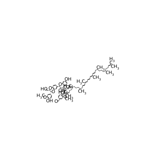 CC(C)=CCCC(C)CCCC(C)C/C=C/C(C)=C/C=C/C=C(C)/C=C/CC(C)CCCC(C)CCC=C(C)C.COc1cc(C=O)ccc1O.COc1cc([C@H]2Oc3cc([C@H]4Oc5cc(O)cc(O)c5C(=O)[C@@H]4O)ccc3O[C@@H]2CO)ccc1O